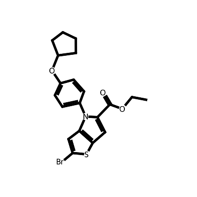 CCOC(=O)c1cc2sc(Br)cc2n1-c1ccc(OC2CCCC2)cc1